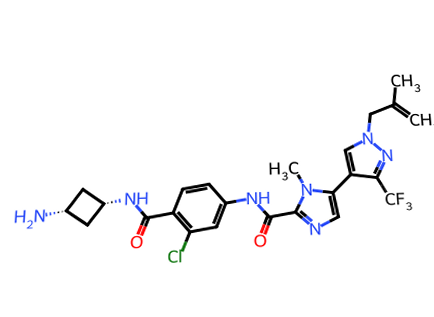 C=C(C)Cn1cc(-c2cnc(C(=O)Nc3ccc(C(=O)N[C@H]4C[C@@H](N)C4)c(Cl)c3)n2C)c(C(F)(F)F)n1